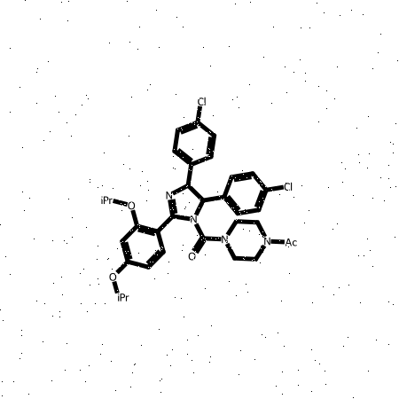 CC(=O)N1CCN(C(=O)N2C(c3ccc(OC(C)C)cc3OC(C)C)=NC(c3ccc(Cl)cc3)C2c2ccc(Cl)cc2)CC1